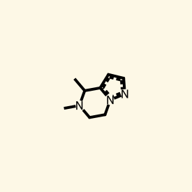 CC1c2ccnn2CCN1C